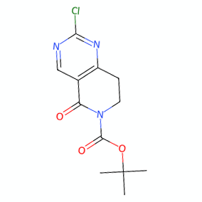 CC(C)(C)OC(=O)N1CCc2nc(Cl)ncc2C1=O